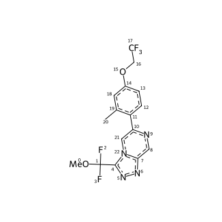 COC(F)(F)c1nnc2cnc(-c3ccc(OCC(F)(F)F)cc3C)cn12